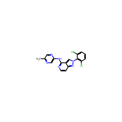 Cc1cnc(Nc2nccc3nn(-c4c(Cl)cccc4Cl)cc23)cn1